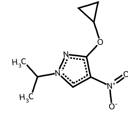 CC(C)n1cc([N+](=O)[O-])c(OC2CC2)n1